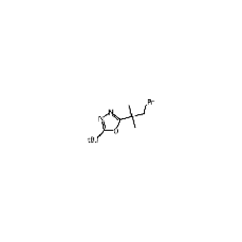 CC(C)CC(C)(C)c1nnc(C(C)(C)C)o1